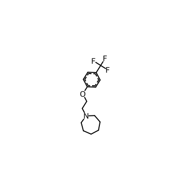 FC(F)(F)c1ccc(OCCN2CCCCCC2)cc1